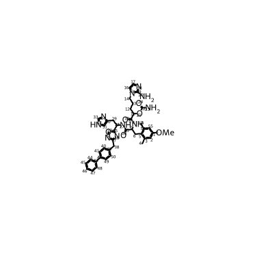 COc1cc(C)c(CC(NC(=O)C(CCCn2ccnc2N)OC(N)=O)C(=O)NC(Cc2c[nH]cn2)c2nc(Cc3ccc(-c4ccccc4)cc3)no2)c(C)c1